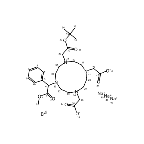 COC(=O)C(c1ccccc1)N1CCN(CC(=O)[O-])CCN(CC(=O)[O-])CCN(CC(=O)OC(C)(C)C)CC1.[Br-].[Na+].[Na+].[Na+]